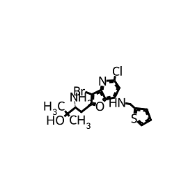 CC(C)(O)[C@H](N)Cc1oc2c(NCc3cccs3)cc(Cl)nc2c1Br